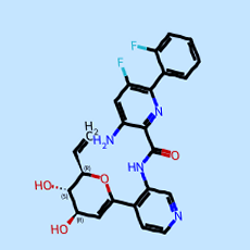 C=C[C@H]1OC(c2ccncc2NC(=O)c2nc(-c3ccccc3F)c(F)cc2N)=C[C@@H](O)[C@@H]1O